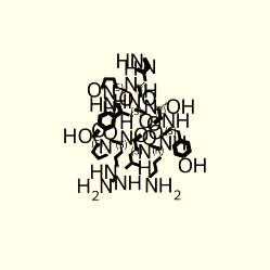 CC(C)C[C@H](NC(=O)[C@@H](CCCCN)NC(=O)[C@H](Cc1ccc(O)cc1)NC(=O)[C@@H](CO)NC(=O)[C@H](Cc1c[nH]c2ccccc12)NC(=O)[C@@H](Cc1c[nH]cn1)NC(=O)[C@@H]1CCC(=O)N1)C(=O)N[C@@H](CCCNC(=N)N)C(=O)N1CCC[C@H]1C(=O)O